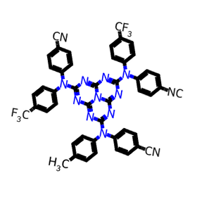 [C-]#[N+]c1ccc(N(C2=NC3=NC(N(c4ccc(C#N)cc4)c4ccc(C(F)(F)F)cc4)=NC4=NC(N(c5ccc(C)cc5)c5ccc(C#N)cc5)=NC(=N2)N43)c2ccc(C(F)(F)F)cc2)cc1